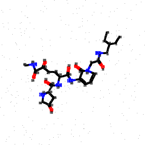 CCC(CC)CNC(=O)Cn1cccc(NC(=O)[C@H](CCC(=O)C(=O)NC)NC(=O)[C@@H]2CC(=O)CN2)c1=O